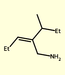 CC/C=C(\CN)C(C)CC